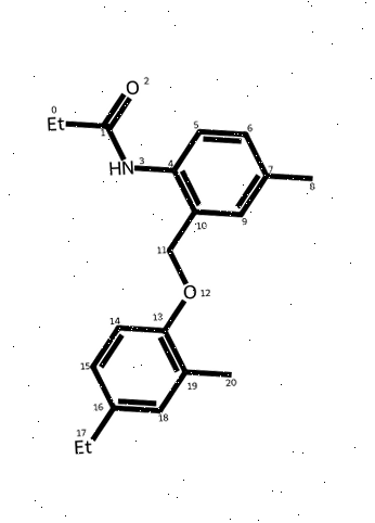 CCC(=O)Nc1ccc(C)cc1COc1ccc(CC)cc1C